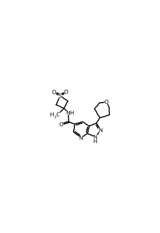 CC1(NC(=O)c2cnc3[nH]nc(C4CCOCC4)c3c2)CS(=O)(=O)C1